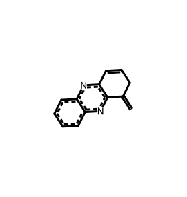 C=C1CC=Cc2nc3ccccc3nc21